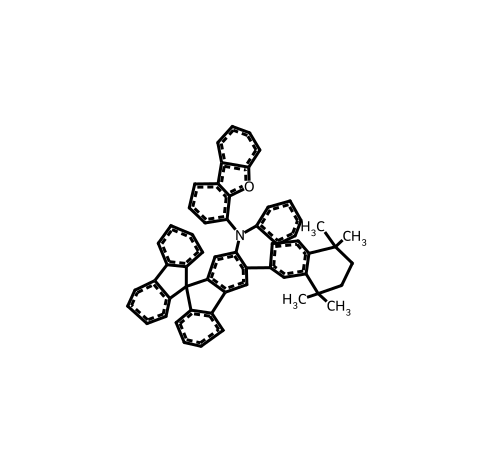 CC1(C)CCC(C)(C)c2cc(-c3cc4c(cc3N(c3ccccc3)c3cccc5c3oc3ccccc35)C3(c5ccccc5-c5ccccc53)c3ccccc3-4)ccc21